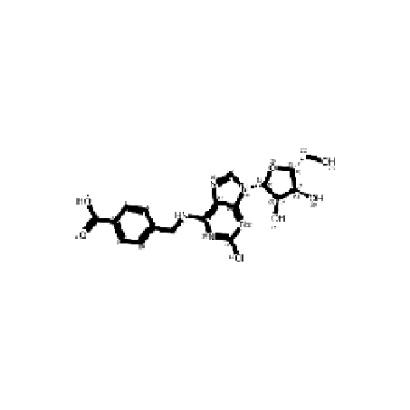 O=C(O)c1ccc(CNc2nc(Cl)nc3c2ncn3[C@@H]2O[C@H](CO)[C@@H](O)[C@H]2O)cc1